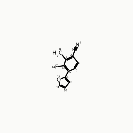 Cc1c(C#N)ccc(-c2ccco2)c1F